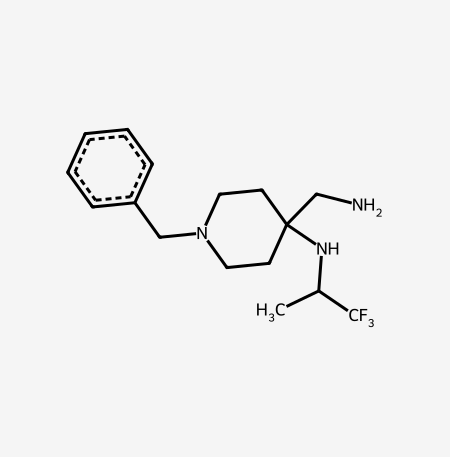 CC(NC1(CN)CCN(Cc2ccccc2)CC1)C(F)(F)F